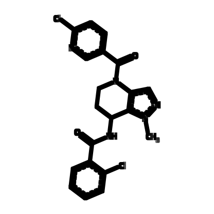 Cn1ncc2c1C(NC(=O)c1ccccc1Cl)CCN2C(=O)c1ccc(Cl)nc1